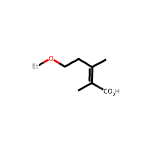 CCOCCC(C)=C(C)C(=O)O